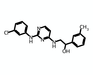 Cc1cccc(C(O)CNc2ccnc(Nc3cccc(Cl)c3)n2)c1